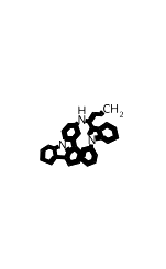 C=C/C=C(/Nc1ccc2c(c1)c1cccc3c1n2C1CC=CC=C31)c1cn(-c2ccccc2)c2ccccc12